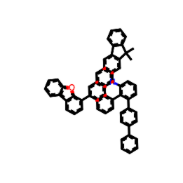 CC1(C)c2ccccc2-c2ccc(N(c3ccc(-c4cccc5c4oc4ccccc45)cc3)c3cccc(-c4ccc(-c5ccccc5)cc4)c3-c3ccccc3-c3ccccc3)cc21